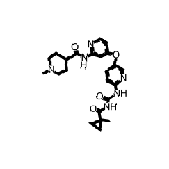 CN1CCC(C(=O)Nc2cc(Oc3ccc(NC(=O)NC(=O)C4(C)CC4)nc3)ccn2)CC1